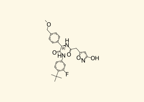 COCc1ccc([C@@H](NC(=O)Cc2cc(O)no2)C(=O)Nc2ccc(C(C)(C)C)c(F)c2)cc1